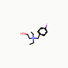 CC[N+](CC)(CCO)Cc1ccc(I)cc1